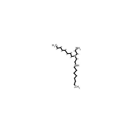 CCCCCCCCNCCN(CCN)CCCCCCCC